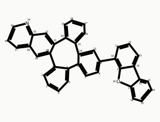 c1ccc2c(c1)-c1ccc(-c3cccc4c3oc3ccccc34)cc1-c1ccccc1-c1cc3ncccc3cc1-2